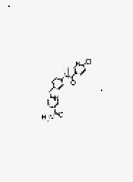 NC(=O)c1ccc(Cc2ccc(NC(=O)c3ccc(Cl)nc3)cc2)nc1